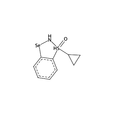 O=[SH]1(C2CC2)N[Se]c2ccccc21